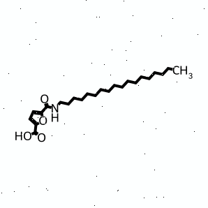 CCCCCCCCCCCCCCCCCCNC(=O)c1ccc(C(=O)O)o1